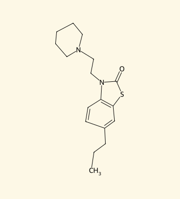 CCCc1ccc2c(c1)sc(=O)n2CCN1CCCCC1